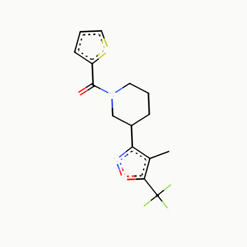 Cc1c(C2CCCN(C(=O)c3cccs3)C2)noc1C(F)(F)F